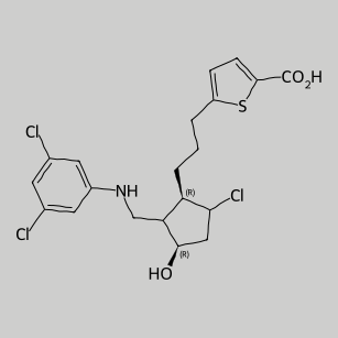 O=C(O)c1ccc(CCC[C@H]2C(Cl)C[C@@H](O)C2CNc2cc(Cl)cc(Cl)c2)s1